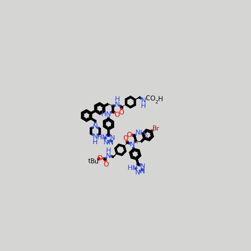 CC(C)(C)OC(=O)NC[C@H]1CC[C@H](C(=O)N(c2ccc(-c3nnn[nH]3)cc2)[C@@H](Cc2ccc(Br)cc2)C(N)=O)CC1.O=C(O)NC[C@H]1CC[C@H](C(=O)N[C@@H](Cc2ccc(-c3ccccc3CN3CCNCC3)cc2)C(=O)Nc2ccc(-c3nnn[nH]3)cc2)CC1